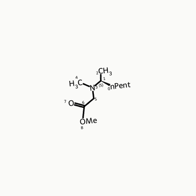 CCCCC[C@H](C)N(C)CC(=O)OC